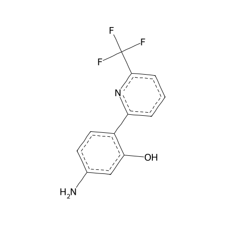 Nc1ccc(-c2cccc(C(F)(F)F)n2)c(O)c1